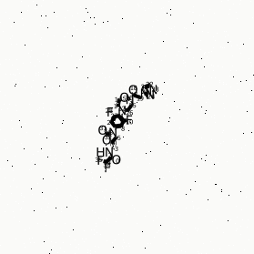 O=C(NC[C@H]1CN(c2cc(F)c(N3CCON(C(=O)Cn4ccnn4)CC3)c(F)c2)C(=O)O1)C(F)F